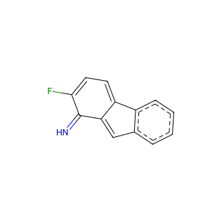 N=C1C(F)=CC=C2C1=Cc1ccccc12